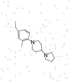 CCc1ccc(N2CCC(N3CCCC3)CC2)c(C)c1